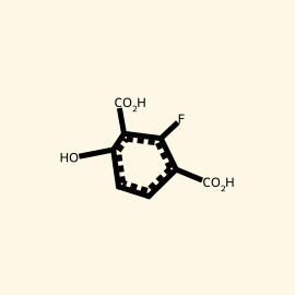 O=C(O)c1ccc(O)c(C(=O)O)c1F